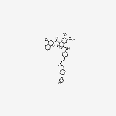 CCOc1cc(C(=O)Nc2ccc(CCN(C)Cc3ccc(-n4ccnc4)cc3)cc2)c(NC(=O)c2cc(=O)c3ccccc3o2)cc1OC